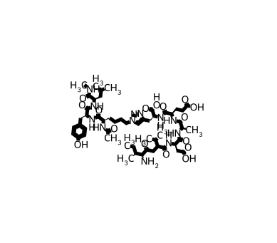 CC[C@@H](C)[C@@H](N)C(=O)CC(C(=O)N[C@H](CC(=O)O)C(=O)N[C@H](C)C(=O)N[C@H](CCC(=O)O)C(=O)N[C@H](Cc1cn(CCCC[C@H](NC(C)=O)C(=O)N[C@H](Cc2ccc(O)cc2)C(=O)N[C@H](CC(C)C)C(=O)NC)nn1)C(=O)O)C(C)C